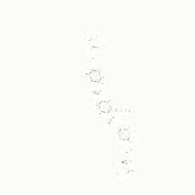 C=CC(=O)OCOc1ccc(OC(=O)c2ccc(C(=O)Oc3ccc(OCOC(=O)C=C)cc3)c(OC)c2)cc1